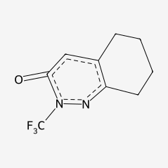 O=c1cc2c(nn1C(F)(F)F)CCCC2